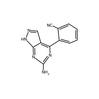 N#Cc1ccccc1-c1nc(N)nc2[nH]ncc12